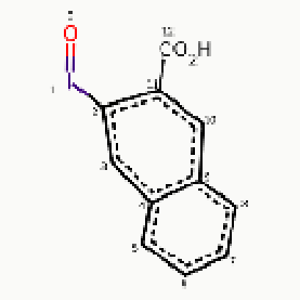 O=Ic1cc2ccccc2cc1C(=O)O